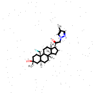 C[C@@]1(O)CC[C@]2(CF)C3CC[C@]4(C)[C@@H](C(=O)Cn5cc(C#N)cn5)CC[C@H]4[C@@H]3CC[C@H]2C1